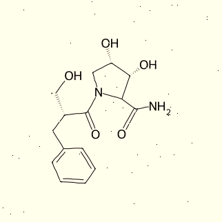 NC(=O)C1[C@@H](O)[C@@H](O)CN1C(=O)[C@@H]([CH]O)Cc1ccccc1